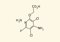 N.Nc1c(Cl)c(F)nc(OCC(=O)O)c1Cl